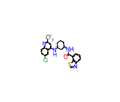 O=C(N[C@@H]1CCC[C@H](Nc2cc(C(F)(F)F)nc3ccc(Cl)cc23)C1)c1cccc2ncsc12